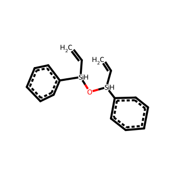 C=C[SiH](O[SiH](C=C)c1ccccc1)c1ccccc1